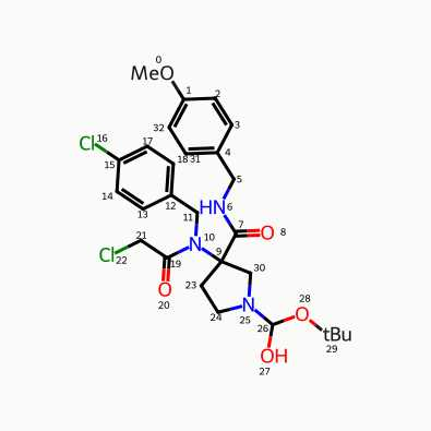 COc1ccc(CNC(=O)C2(N(Cc3ccc(Cl)cc3)C(=O)CCl)CCN(C(O)OC(C)(C)C)C2)cc1